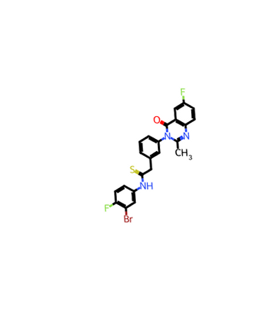 Cc1nc2ccc(F)cc2c(=O)n1-c1cccc(CC(=S)Nc2ccc(F)c(Br)c2)c1